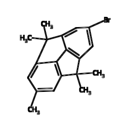 Cc1cc2c3c(c1)C(C)(C)c1cc(Br)cc(c1-3)C2(C)C